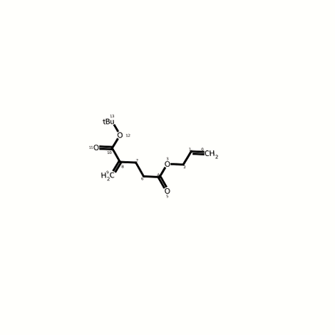 C=CCOC(=O)CCC(=C)C(=O)OC(C)(C)C